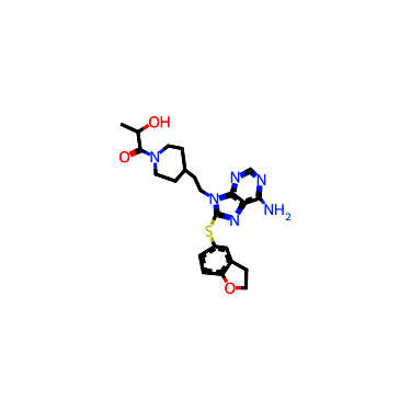 CC(O)C(=O)N1CCC(CCn2c(Sc3ccc4c(c3)CCO4)nc3c(N)ncnc32)CC1